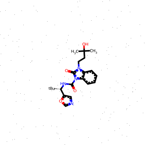 CC(C)(O)CCn1c(=O)n(C(=O)N[C@H](c2cnco2)C(C)(C)C)c2ccccc21